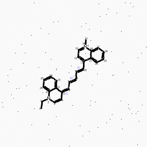 CCN1C=C/C(=C/C=C/C=C/c2cc[n+](C)c3ccccc23)c2ccccc21